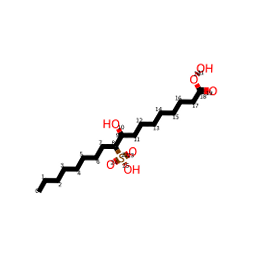 CCCCCCCCC(C(O)CCCCCCCC(=O)OO)S(=O)(=O)O